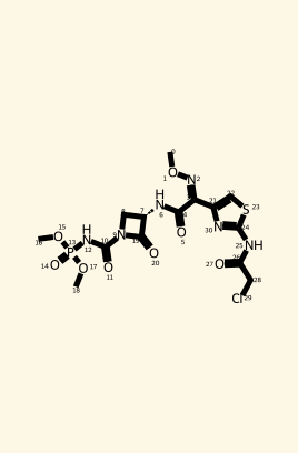 CO/N=C(\C(=O)N[C@H]1CN(C(=O)NP(=O)(OC)OC)C1=O)c1csc(NC(=O)CCl)n1